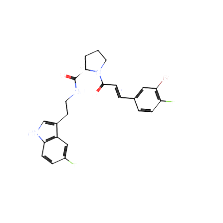 O=C(NCCc1c[nH]c2ccc(F)cc12)[C@H]1CCCN1C(=O)/C=C/c1ccc(F)c(Br)c1